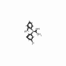 CCc1cccc(N(C(=N)N)c2ccccc2C(C)C)c1